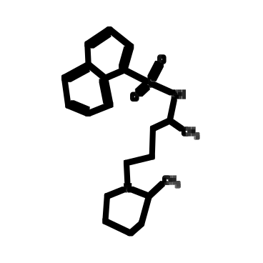 CC(CCCN1CCCCC1C)NS(=O)(=O)c1cccc2ccccc12